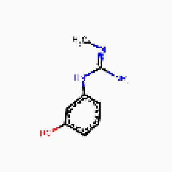 C/N=C(/N)Nc1cccc(O)c1